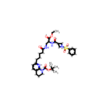 CCOC(=O)C(CNC(=O)CCCCc1ccc2c(n1)N(C(=O)OC(C)(C)C)CCC2)NC(=O)C1CN(S(=O)(=O)c2ccccc2)C1